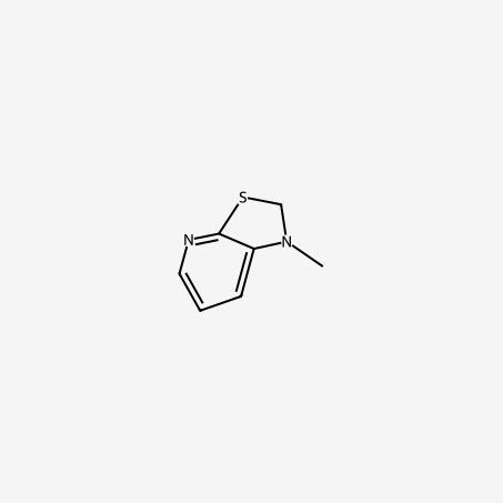 CN1CSc2ncccc21